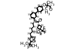 CC(C)(C=O)Oc1ccc(-c2cccc(N(CCCCCc3noc(C(C)(C)F)n3)C(=O)[C@H]3C[C@](O)(C(F)(F)F)C3)c2)cc1